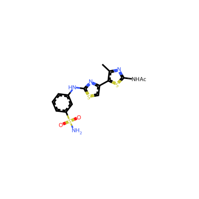 CC(=O)Nc1nc(C)c(-c2csc(Nc3cccc(S(N)(=O)=O)c3)n2)s1